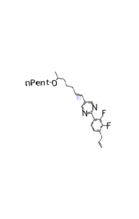 C=CCc1ccc(-c2ncc(/C=C/CCCC(C)OCCCCC)cn2)c(F)c1F